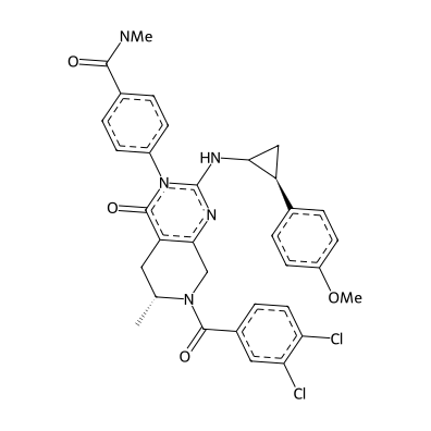 CNC(=O)c1ccc(-n2c(NC3C[C@H]3c3ccc(OC)cc3)nc3c(c2=O)C[C@@H](C)N(C(=O)c2ccc(Cl)c(Cl)c2)C3)cc1